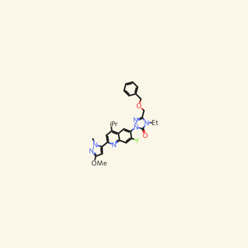 CCn1c(COCc2ccccc2)nn(-c2cc3c(C(C)C)cc(-c4cc(OC)nn4C)nc3cc2F)c1=O